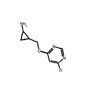 NC1CC1COc1cc(Cl)ncn1